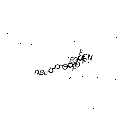 CCCC[C@H]1CC[C@H]([C@H]2CC[C@H](COc3cc(F)c(C(=O)Oc4cc(F)c(C#N)c(F)c4)c(F)c3)CC2)CC1